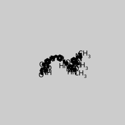 CNC(=O)c1nnc(NC(=O)CCN2CCC(CC3CN(c4ccc5c(c4)C(=O)N(C4CCC(=O)NC4=O)C5=O)C3)CC2)cc1Nc1cccc(-c2ncn(C)n2)c1OC